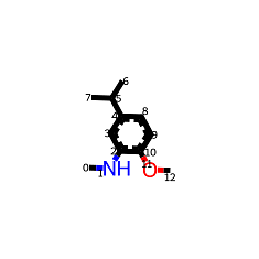 CNc1cc(C(C)C)ccc1OC